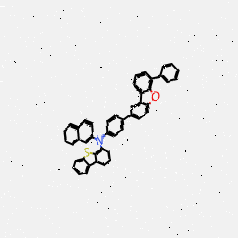 c1ccc(-c2cccc3c2oc2ccc(-c4ccc(N(c5ccc6ccccc6c5)c5cccc6c5sc5ccccc56)cc4)cc23)cc1